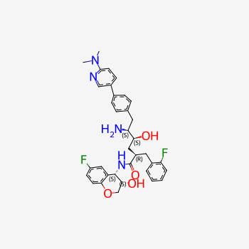 CN(C)c1ccc(-c2ccc(C[C@H](N)[C@@H](O)C[C@@H](Cc3ccccc3F)C(=O)N[C@H]3c4cc(F)ccc4OC[C@H]3O)cc2)cn1